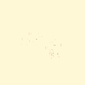 C=C(C)C(=O)OCCCCCC[N+](C)(C)CCCCCCCC.C=C(C)C(=O)OCCOC(=O)C(=C)C.[Cl-]